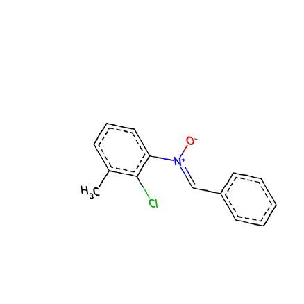 Cc1cccc([N+]([O-])=Cc2ccccc2)c1Cl